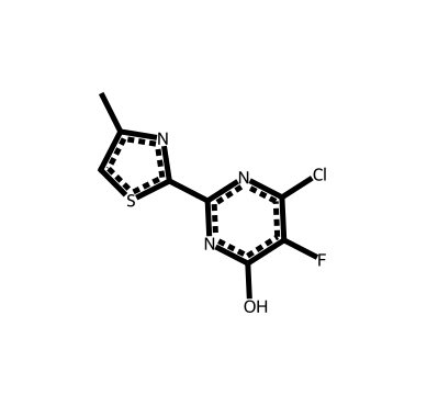 Cc1csc(-c2nc(O)c(F)c(Cl)n2)n1